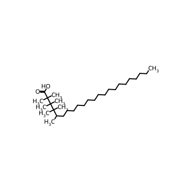 CCCCCCCCCCCCCCCCCCC(C)C(C)(C)C(C)(C)C(C)(C)C(=O)O